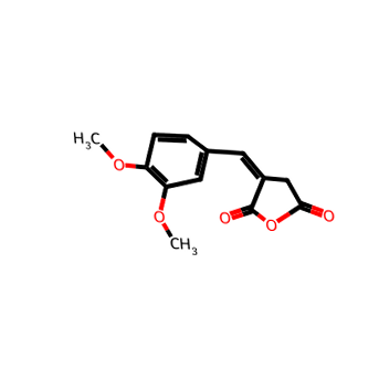 COc1ccc(C=C2CC(=O)OC2=O)cc1OC